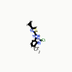 FC(F)(F)c1cccc2c1nc(Cl)n1nc(-c3nc(C4CC4)cs3)nc21